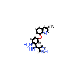 N#Cc1cnc2c(c1)CCCC2Oc1ccc(N)c(C(=N)c2cn[nH]c2)c1